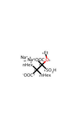 CCCCCCC(CCCCCC)(C(=O)[O-])C(OCC)(C(=O)[O-])S(=O)(=O)O.[Na+].[Na+]